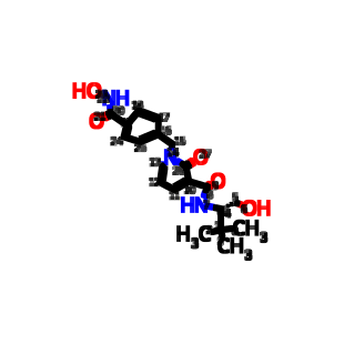 CC(C)(C)[C@@H](CO)NC(=O)c1cccn(Cc2ccc(C(=O)NO)cc2)c1=O